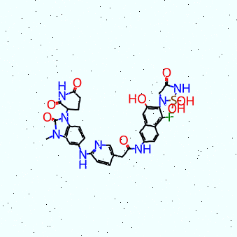 Cn1c(=O)n(C2CCC(=O)NC2=O)c2ccc(Nc3ccc(CC(=O)Nc4ccc5c(F)c(N6CC(=O)NS6(O)O)c(O)cc5c4)cn3)cc21